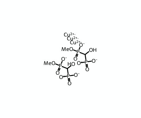 COP(=O)([O-])C(O)P(=O)([O-])[O-].COP(=O)([O-])C(O)P(=O)([O-])[O-].[Cu+2].[Cu+2].[Cu+2]